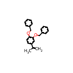 C=C(C)c1ccc(OCc2ccccc2)c(OCc2ccccc2)c1